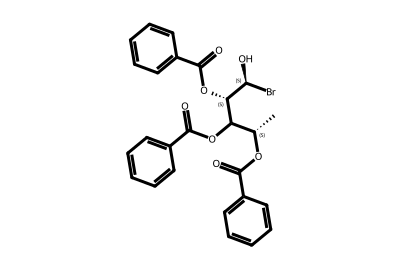 C[C@H](OC(=O)c1ccccc1)C(OC(=O)c1ccccc1)[C@H](OC(=O)c1ccccc1)[C@@H](O)Br